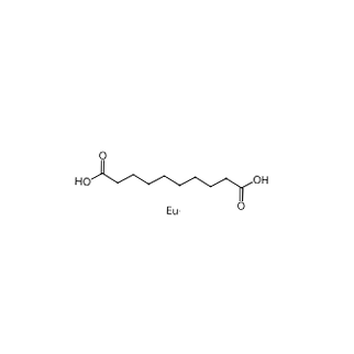 O=C(O)CCCCCCCCC(=O)O.[Eu]